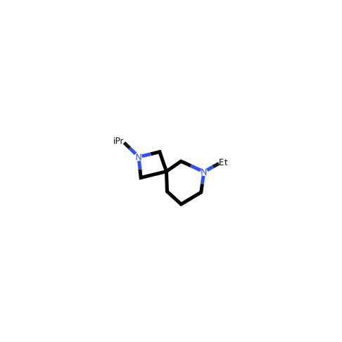 CCN1CCCC2(C1)CN(C(C)C)C2